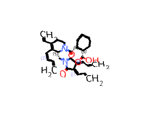 C=C/C=C\C1=C(C=C)CCN(C(=O)[C@@H]2CCCC[C@@H]2C(=O)O)[C@@H]1CN1CC(=C/C=C)/C(=C\C=C)C1=O